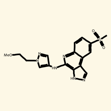 COCCn1cc(Nc2nc3ccc(S(C)(=O)=O)cc3c3cn[nH]c23)cn1